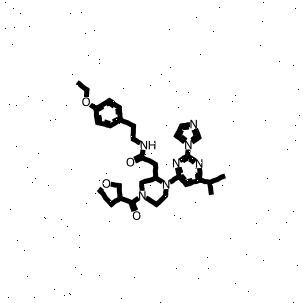 CCOc1ccc(CCNC(=O)CC2CN(C(=O)C3CCOC3)CCN2c2cc(C(C)C)nc(-n3ccnc3)n2)cc1